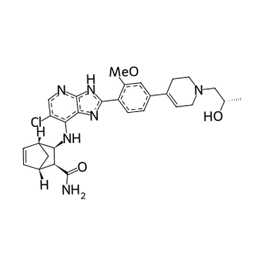 COc1cc(C2=CCN(C[C@H](C)O)CC2)ccc1-c1nc2c(N[C@H]3[C@@H](C(N)=O)[C@@H]4C=C[C@H]3C4)c(Cl)cnc2[nH]1